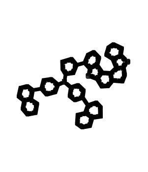 c1cc(-c2cccc3c2oc2ccc4ccc5oc6ccccc6c5c4c23)cc(N(c2ccc(-c3cccc4ccccc34)cc2)c2ccc(-c3cccc4ccccc34)cc2)c1